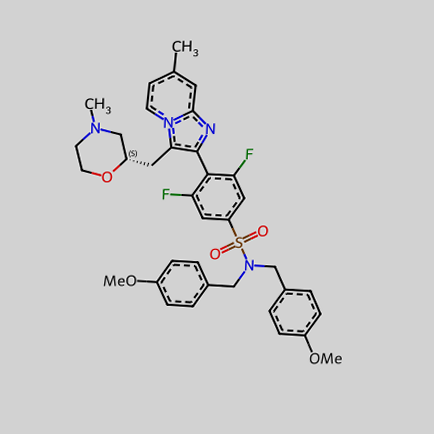 COc1ccc(CN(Cc2ccc(OC)cc2)S(=O)(=O)c2cc(F)c(-c3nc4cc(C)ccn4c3C[C@H]3CN(C)CCO3)c(F)c2)cc1